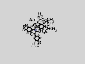 COc1ccc(C(=O)/C(Cc2cc(OC(C)C)c(OC(C)C)c(OC(C)C)c2)=C(/C(=O)[O-])c2ccc3nsnc3c2)cc1.[Na+]